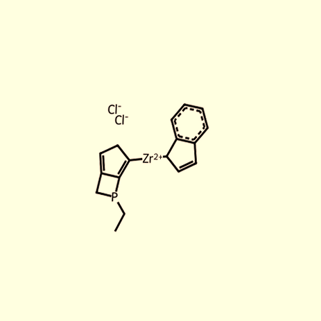 CCP1CC2=CC[C]([Zr+2][CH]3C=Cc4ccccc43)=C21.[Cl-].[Cl-]